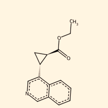 CCOC(=O)[C@@H]1C[C@H]1c1cncc2ccccc12